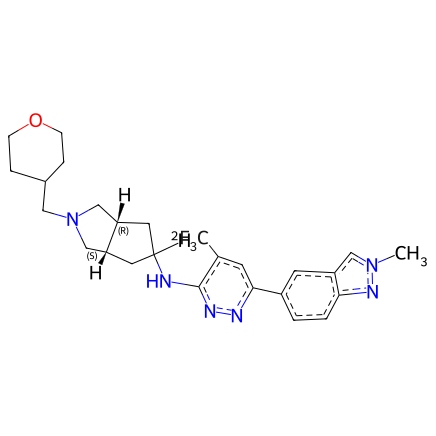 [2H]C1(Nc2nnc(-c3ccc4nn(C)cc4c3)cc2C(F)(F)F)C[C@H]2CN(CC3CCOCC3)C[C@H]2C1